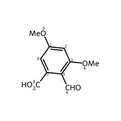 COc1cc(OC)c(C=O)c(C(=O)O)c1